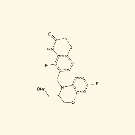 O=CC[C@H]1COc2cc(F)ccc2N1Cc1ccc2c(c1F)NC(=O)CO2